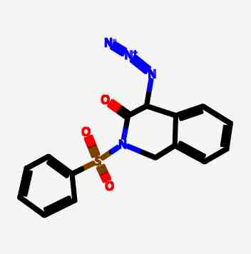 [N-]=[N+]=NC1C(=O)N(S(=O)(=O)c2ccccc2)Cc2ccccc21